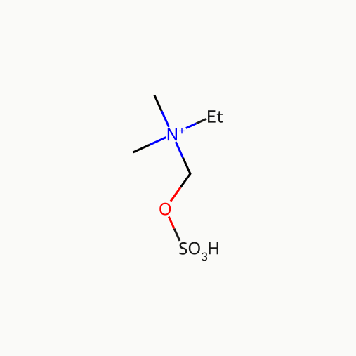 CC[N+](C)(C)COS(=O)(=O)O